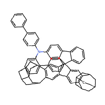 c1ccc(-c2ccc(N(c3ccc4c(c3)C3(c5ccccc5-4)c4cc5c(cc4-c4cc6c(cc43)C3CC4CC7CC6CC74C3)C3CC4CC(C3)CC5C4)c3ccccc3-c3ccccc3)cc2)cc1